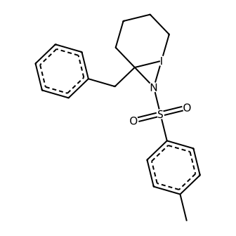 Cc1ccc(S(=O)(=O)N2I3CCCCC23Cc2ccccc2)cc1